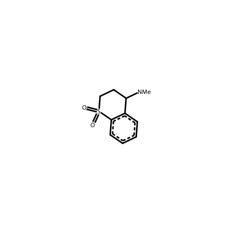 CNC1CCS(=O)(=O)c2ccccc21